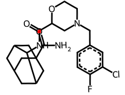 NC(=O)C12CC3CC(C1)C(NC(=O)C1CN(Cc4ccc(F)c(Cl)c4)CCO1)C(C3)C2